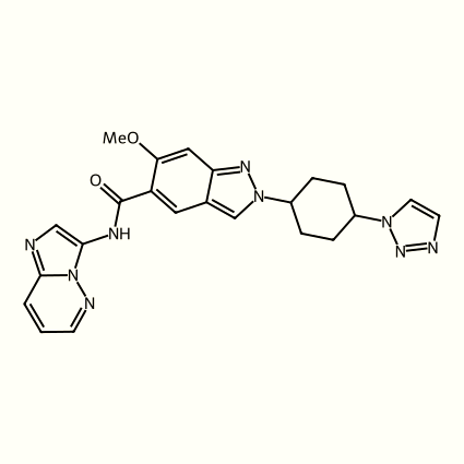 COc1cc2nn(C3CCC(n4ccnn4)CC3)cc2cc1C(=O)Nc1cnc2cccnn12